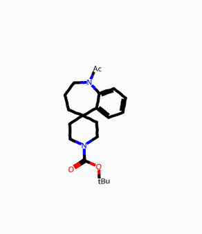 CC(=O)N1CCCC2(CCN(C(=O)OC(C)(C)C)CC2)c2ccccc21